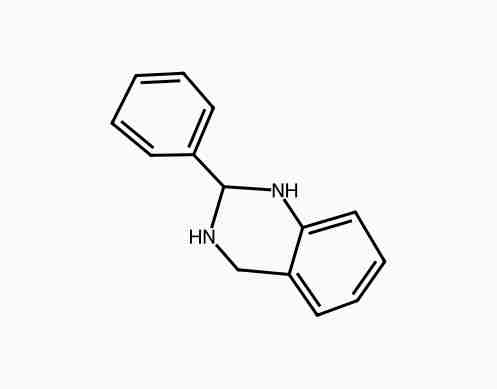 c1ccc(C2NCc3ccccc3N2)cc1